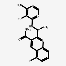 CNC(=O)c1cc2c(F)cccc2nc1[C@H](C)Nc1ncnc(N)c1C#N